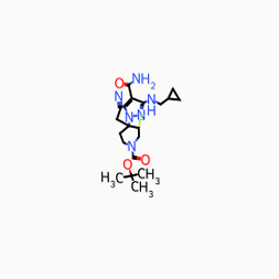 CC(C)(C)OC(=O)N1CCC(CC#N)(n2cc(C(N)=O)c(NCC3CC3)n2)C(F)C1